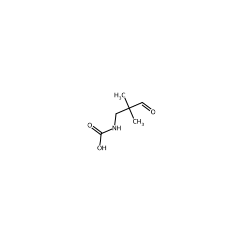 CC(C)(C=O)CNC(=O)O